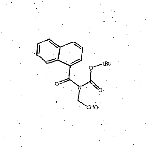 CC(C)(C)OC(=O)N(C[C]=O)C(=O)c1cccc2ccccc12